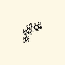 Cc1nsc(-c2nnc3n2CCN(C(=O)c2ccc(F)c(Cl)c2)C3C)n1